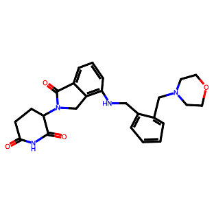 O=C1CCC(N2Cc3c(NCc4ccccc4CN4CCOCC4)cccc3C2=O)C(=O)N1